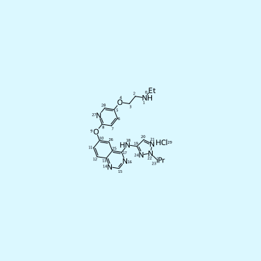 CCNCCOc1ccc(Oc2ccc3ncnc(Nc4cnn(C(C)C)n4)c3c2)nc1.Cl